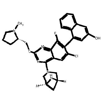 CN1CCC[C@H]1COc1nc(N2C[C@@H]3C[C@@H](C2)N3)c2cc(Cl)c(-c3cc(O)cc4ccccc34)c(F)c2n1